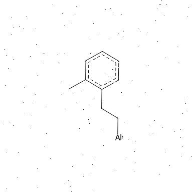 Cc1ccccc1C[CH2][Al]